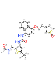 CC(=O)NCc1sc(C(C)(C)C)cc1NC(=O)Nc1ccc(OCCC2CC[S+]([O-])C2)c2ccccc12